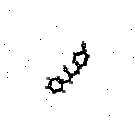 [O-][N+](=Cc1ccc(Cl)cc1)Cc1ccccc1